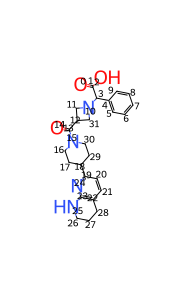 O=C(O)C(c1ccccc1)N1CC(C(=O)N2CCC(c3ccc4c(n3)NCCC4)CC2)C1